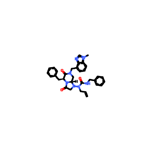 C=CCN(C(=O)NCc1ccccc1)N1CC(=O)N2[C@@H](Cc3ccccc3)C(=O)N(Cc3cccc4c3ncn4C)C[C@@H]21